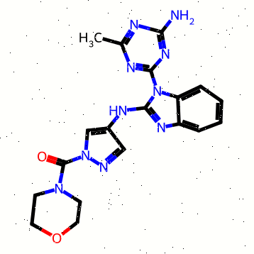 Cc1nc(N)nc(-n2c(Nc3cnn(C(=O)N4CCOCC4)c3)nc3ccccc32)n1